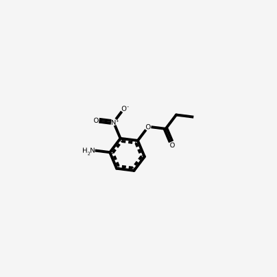 CCC(=O)Oc1cccc(N)c1[N+](=O)[O-]